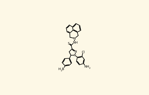 Bc1ccc(C2CC(C(=S)NN3Cc4cccc5cccc(c45)C3)=NN2c2ccc(N)cc2Cl)cc1